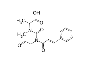 CC(C(=O)O)N(C)C(=O)N(C[C]=O)C(=O)/C=C/c1ccccc1